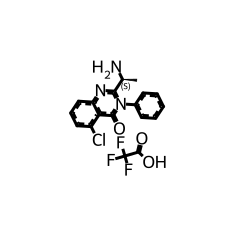 C[C@H](N)c1nc2cccc(Cl)c2c(=O)n1-c1ccccc1.O=C(O)C(F)(F)F